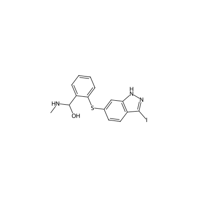 CNC(O)c1ccccc1Sc1ccc2c(I)n[nH]c2c1